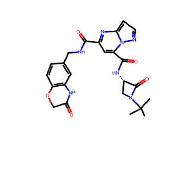 CC(C)(C)N1C[C@H](NC(=O)c2cc(C(=O)NCc3ccc4c(c3)NC(=O)CO4)nc3ccnn23)C1=O